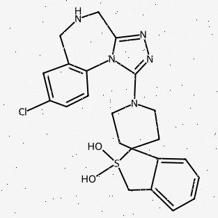 OS1(O)Cc2ccccc2C12CCN(c1nnc3n1-c1ccc(Cl)cc1CNC3)CC2